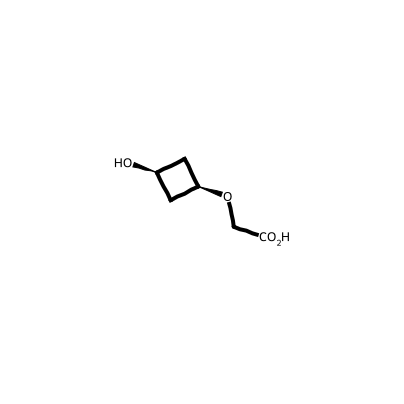 O=C(O)CO[C@H]1C[C@@H](O)C1